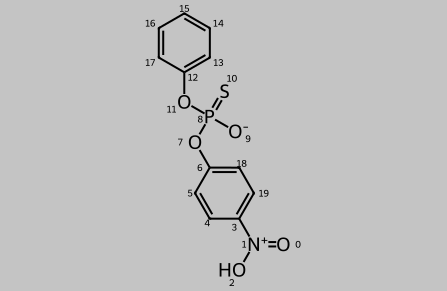 O=[N+](O)c1ccc(OP([O-])(=S)Oc2ccccc2)cc1